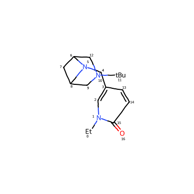 CCn1cc(CN2C3CC2CN(C(C)(C)C)C3)ccc1=O